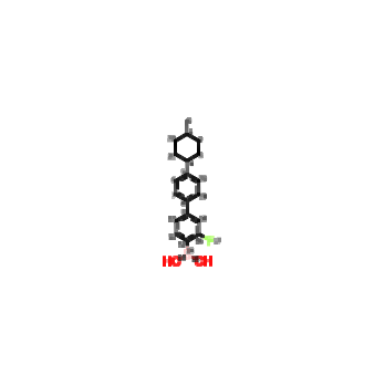 CC1CCC(c2ccc(-c3ccc(B(O)O)c(F)c3)cc2)CC1